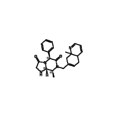 C[C@H]1[C@@H]2NCC(=O)N2[C@@H](c2ccccc2)C(=O)N1CC1=CCC2C=CC=NC2(C)C1